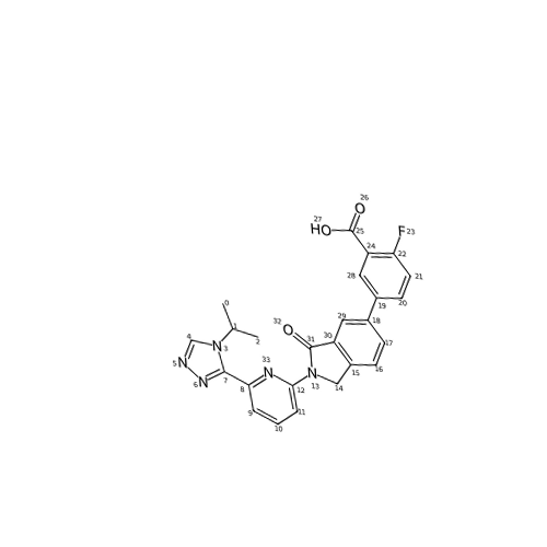 CC(C)n1cnnc1-c1cccc(N2Cc3ccc(-c4ccc(F)c(C(=O)O)c4)cc3C2=O)n1